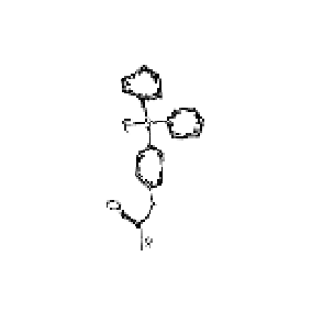 CC(C)C(=O)Cc1ccc(S(F)(c2ccccc2)c2ccccc2)cc1